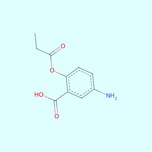 CCC(=O)Oc1ccc(N)cc1C(=O)O